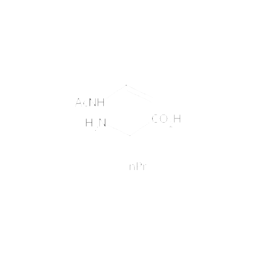 C=CNC(C)=O.CCC[C@H](N)C(=O)O